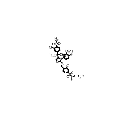 CCOC(=O)NS(=O)(=O)c1ccc(CSc2ncc(C(C)(C)c3ccc(S(N)(=O)=O)c(Cl)c3)n2-c2ccc(F)c(OC)c2)c(Cl)c1